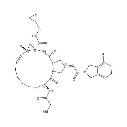 CC(C)(C)CC(=O)N[C@H]1CCCCC/C=C\[C@@H]2C[C@@]2(C(=O)NSC2CC2)NC(=O)C2C[C@@H](OC(=O)N3Cc4cccc(F)c4C3)CN2C1=O